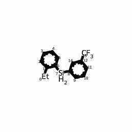 CCc1ccccc1[SiH2]c1cccc(C(F)(F)F)c1